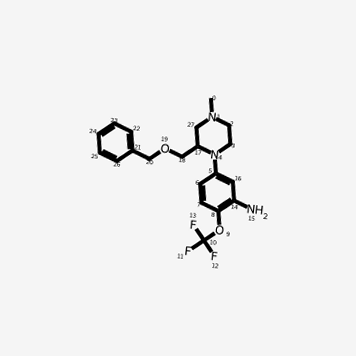 CN1CCN(c2ccc(OC(F)(F)F)c(N)c2)C(COCc2ccccc2)C1